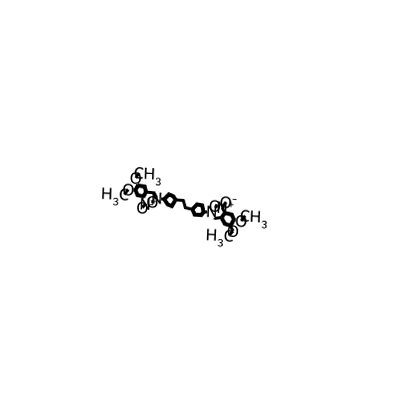 COc1cc(/C=N/c2ccc(CCc3ccc(/N=C/c4cc(OC)c(OC)cc4[N+](=O)[O-])cc3)cc2)c([N+](=O)[O-])cc1OC